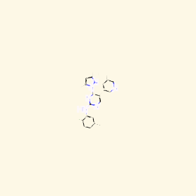 Cc1ccc(F)c(Nc2ncc(-c3cncc(C(=O)O)c3)c(-n3nc(C(F)(F)F)cc3C)n2)c1